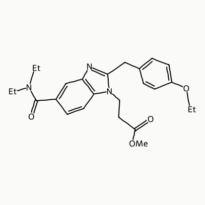 CCOc1ccc(Cc2nc3cc(C(=O)N(CC)CC)ccc3n2CCC(=O)OC)cc1